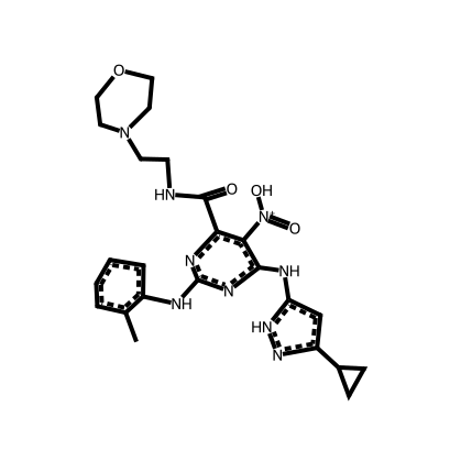 Cc1ccccc1Nc1nc(Nc2cc(C3CC3)n[nH]2)c([N+](=O)O)c(C(=O)NCCN2CCOCC2)n1